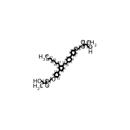 C=C(CO)C(=O)OCCOc1ccc(-c2ccc(CCC3CCC(c4ccc(OCCOC(=O)C(=C)CO)cc4)CC3)c(CCCCCCC)c2)cc1